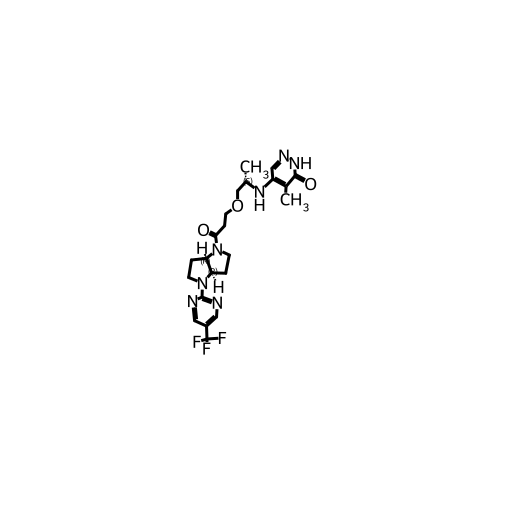 Cc1c(N[C@@H](C)COCCC(=O)N2CC[C@@H]3[C@H]2CCN3c2ncc(C(F)(F)F)cn2)cn[nH]c1=O